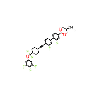 CC1COC(c2ccc(-c3ccc(C#CC4CCC(C(F)(F)Oc5cc(F)c(F)c(F)c5)CC4)c(F)c3)c(F)c2)OC1